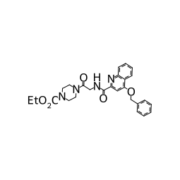 CCOC(=O)N1CCN(C(=O)CNC(=O)c2cc(OCc3ccccc3)c3ccccc3n2)CC1